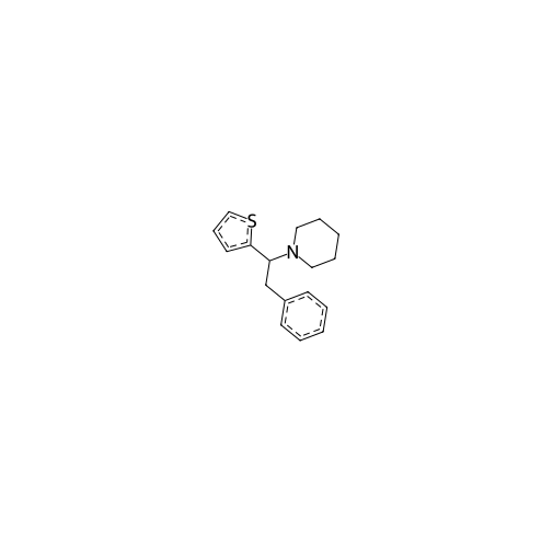 c1ccc(CC(c2cccs2)N2CCCCC2)cc1